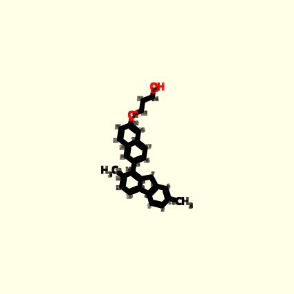 Cc1ccc2c(c1)Cc1c-2ccc(C)c1-c1ccc2cc(OCCCO)ccc2c1